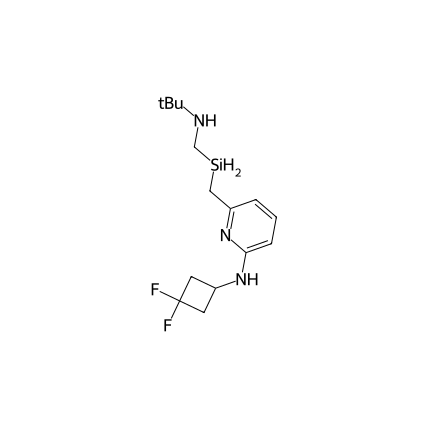 CC(C)(C)NC[SiH2]Cc1cccc(NC2CC(F)(F)C2)n1